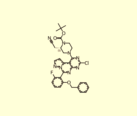 CC(C)(C)OC(=O)N1CCN(c2nc(Cl)nc3nc(-c4c(F)cccc4OCc4ccccc4)n4nccc4c23)C[C@@H]1CC#N